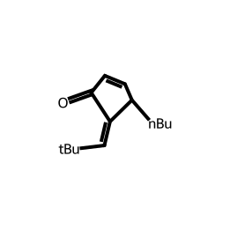 CCCCC1C=CC(=O)C1=CC(C)(C)C